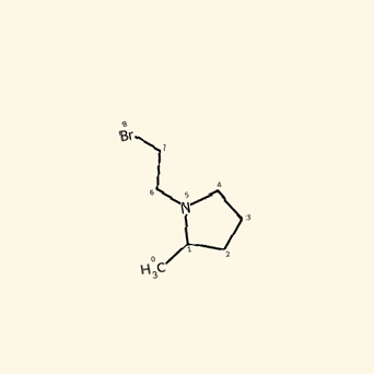 CC1CCCN1CCBr